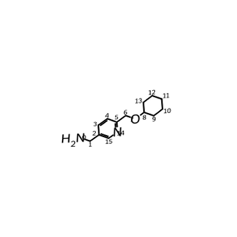 NCc1ccc(COC2CCCCC2)nc1